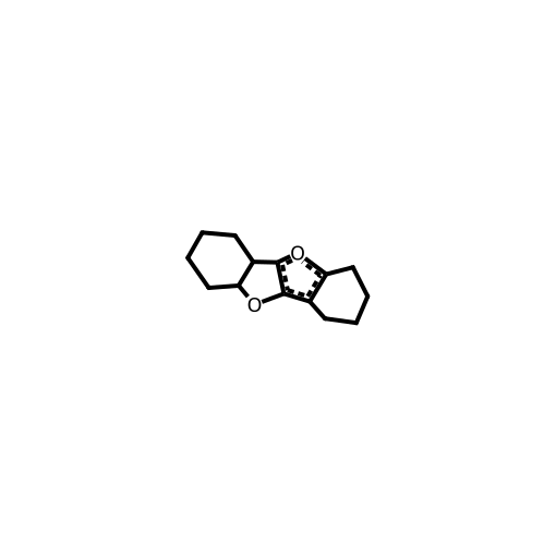 C1CCc2c(oc3c2OC2CCCCC32)C1